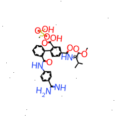 COC(=O)[C@H](NC(=O)c1ccc(-c2ccccc2C(=O)Nc2ccc(C(=N)N)cc2)c(C(=O)O)c1)C(C)C.CS(=O)(=O)O